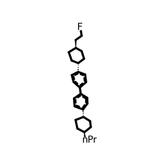 CCC[C@H]1CC[C@H](c2ccc(-c3ccc([C@H]4CC[C@H](CCF)CC4)cc3)cc2)CC1